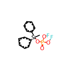 C[Si](OP(=O)(OF)OF)(c1ccccc1)c1ccccc1